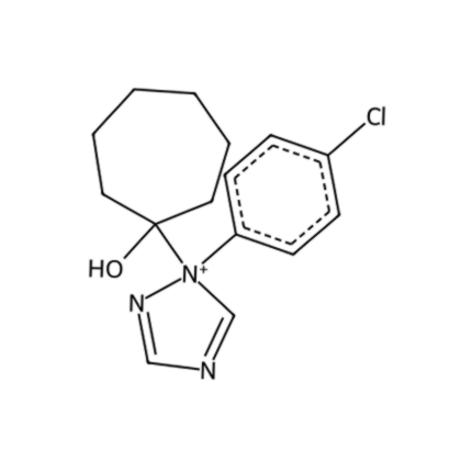 OC1([N+]2(c3ccc(Cl)cc3)C=NC=N2)CCCCCC1